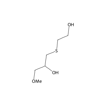 COCC(O)CSCCO